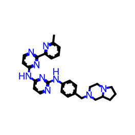 Cc1cccc(-c2nccc(Nc3ccnc(Nc4ccc(CN5CCN6CCCC6C5)cc4)n3)n2)n1